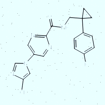 Cc1cn(-c2cnc(C(=O)NCC3(c4ccc(F)cc4)CC3)nc2)cn1